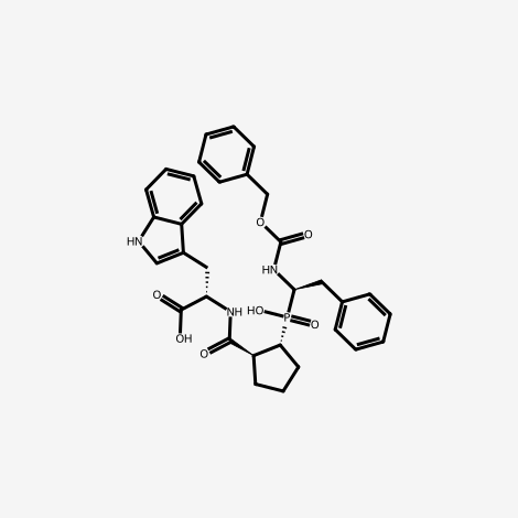 O=C(N[C@@H](Cc1ccccc1)P(=O)(O)[C@@H]1CCC[C@H]1C(=O)N[C@@H](Cc1c[nH]c2ccccc12)C(=O)O)OCc1ccccc1